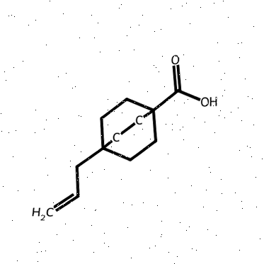 C=CCC12CCC(C(=O)O)(CC1)CC2